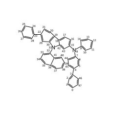 c1ccc(-c2ccc(N(c3ccccc3)c3ccc4c5ccc(-c6ccccc6)cc5n(-c5cccc6ccccc56)c4c3)cc2)cc1